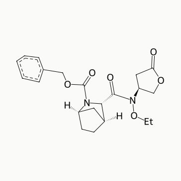 CCON(C(=O)[C@@H]1[C@H]2CC[C@H](C2)N1C(=O)OCc1ccccc1)[C@@H]1COC(=O)C1